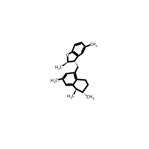 Cc1cc(C[C@H]2c3cc(C)ccc3O[C@@H]2C)c2c(c1)[C@H](C)[C@@H](C)CC2